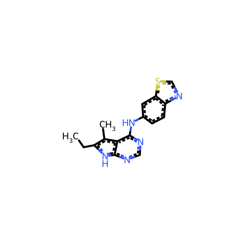 CCc1[nH]c2ncnc(Nc3ccc4ncsc4c3)c2c1C